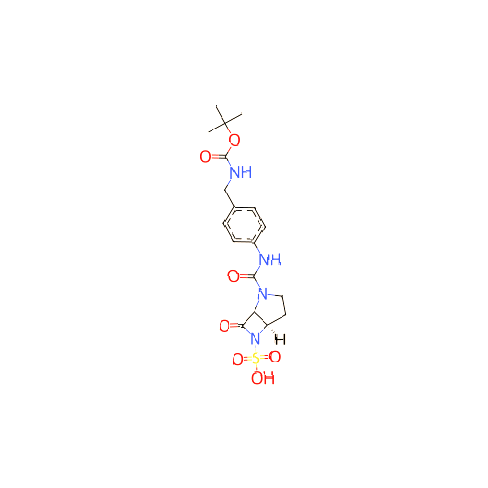 CC(C)(C)OC(=O)NCc1ccc(NC(=O)N2CC[C@@H]3C2C(=O)N3S(=O)(=O)O)cc1